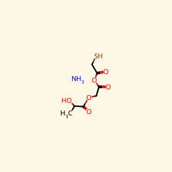 CC(O)C(=O)OCC(=O)OC(=O)CS.N